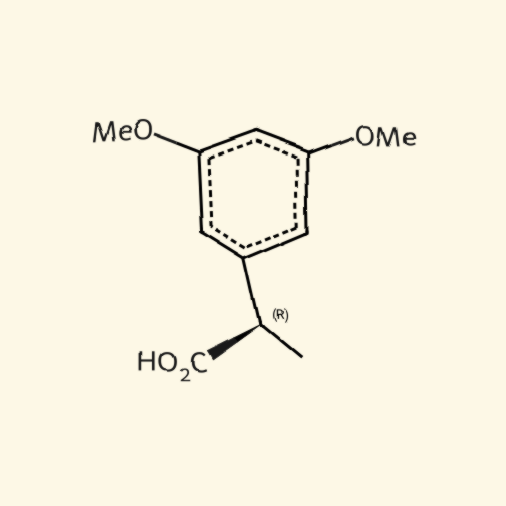 COc1cc(OC)cc([C@@H](C)C(=O)O)c1